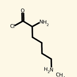 C.NCCCCC(N)C(=O)Cl